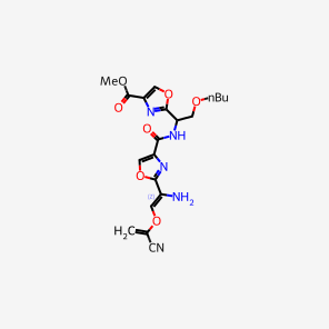 C=C(C#N)O/C=C(\N)c1nc(C(=O)NC(COCCCC)c2nc(C(=O)OC)co2)co1